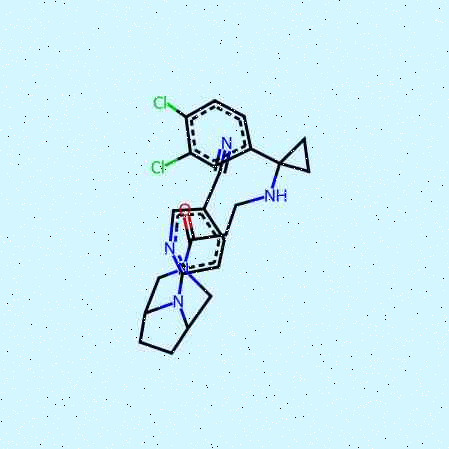 N#Cc1ccc(N2C3CCC2CN(C(=O)CCNC2(c4ccc(Cl)c(Cl)c4)CC2)C3)nc1